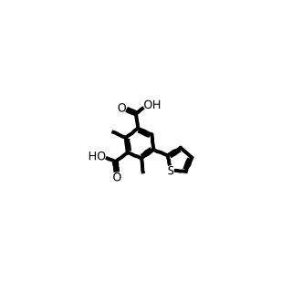 Cc1c(C(=O)O)cc(-c2cccs2)c(C)c1C(=O)O